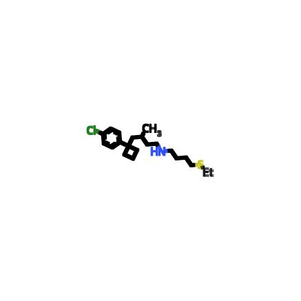 CCSCCCCNCCC(C)CC1(c2ccc(Cl)cc2)CCC1